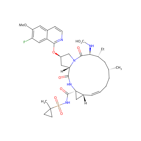 CC[C@@H]1C[C@H](C)CCC=C[C@@H]2C[C@@]2(C(=O)NS(=O)(=O)C2(C)CC2)NC(=O)[C@@H]2C[C@@H](Oc3nccc4cc(OC)c(F)cc34)CN2C(=O)[C@H]1NC(=O)O